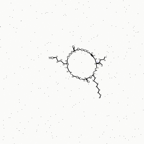 CCCCCCCCC1CCC/C(=C(\C)CCC)CC#CCCCOC(=O)CCCCN(CCCCO)CCCCCCCC(=O)O1